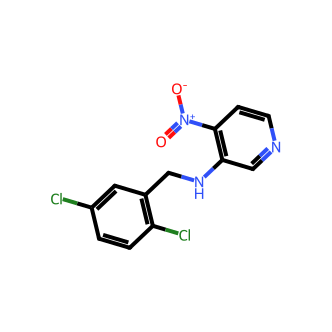 O=[N+]([O-])c1ccncc1NCc1cc(Cl)ccc1Cl